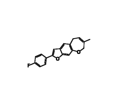 CC1=CCc2cc3cc(-c4ccc(F)cc4)oc3cc2OC1